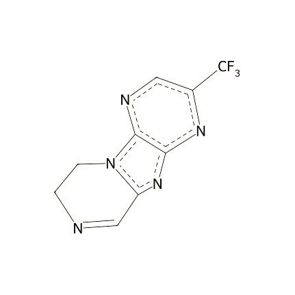 FC(F)(F)c1cnc2c(n1)nc1n2CCN=C1